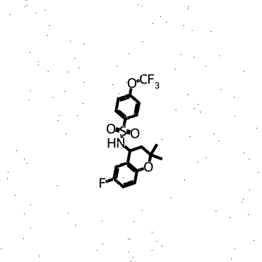 CC1(C)CC(NS(=O)(=O)c2ccc(OC(F)(F)F)cc2)c2cc(F)ccc2O1